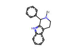 CC(=O)N1CCc2c([nH]c3ccccc23)C1c1ccccc1